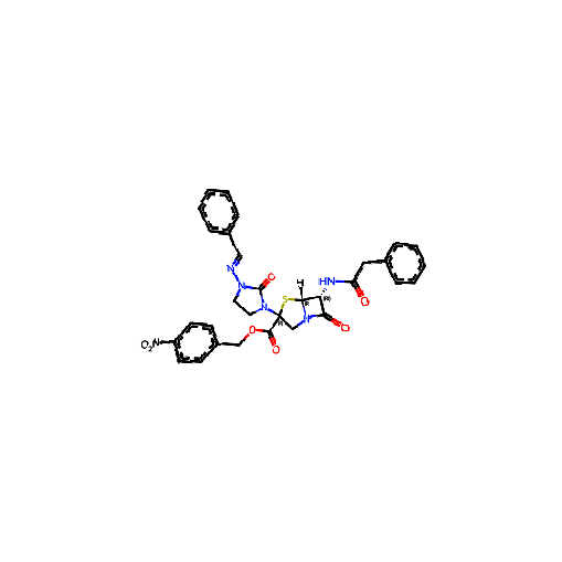 O=C(Cc1ccccc1)N[C@@H]1C(=O)N2C[C@@](C(=O)OCc3ccc([N+](=O)[O-])cc3)(N3CCN(N=Cc4ccccc4)C3=O)S[C@H]12